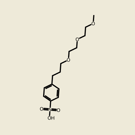 COCCOCCOCCCc1ccc(S(=O)(=O)O)cc1